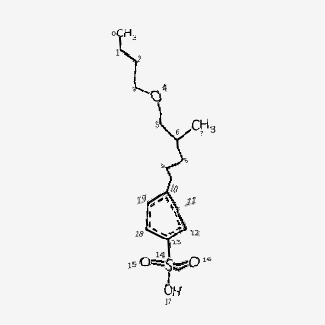 CCCCOCC(C)CCc1ccc(S(=O)(=O)O)cc1